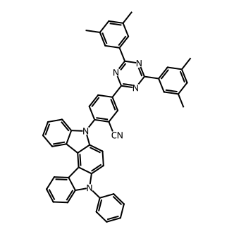 Cc1cc(C)cc(-c2nc(-c3cc(C)cc(C)c3)nc(-c3ccc(-n4c5ccccc5c5c6c7ccccc7n(-c7ccccc7)c6ccc54)c(C#N)c3)n2)c1